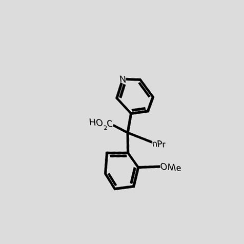 CCCC(C(=O)O)(c1cccnc1)c1ccccc1OC